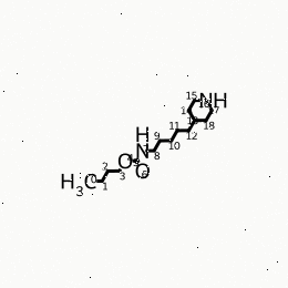 CCCCOC(=O)NCCCCCC1CCNCC1